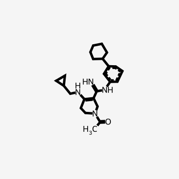 CC(=O)N1CCC(NCC2CC2)=C(C(=N)Nc2cccc(C3CCCCC3)c2)C1